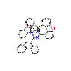 c1ccc(-c2nc(-c3cc4ccccc4c4ccccc34)nc(-c3cccc4oc5cccc(-c6ccc7c(c6)oc6ccccc67)c5c34)n2)cc1